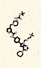 CC(C)(C)OC(=O)N[C@@H]1CCCN(Cc2ccnc(C(=O)Nc3ccc(-c4cc5c(N6CCCCC6)ncnc5n4COCC[Si](C)(C)C)cc3)c2)C1